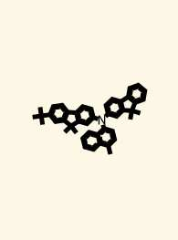 Cc1ccc(N(c2ccc3c(c2)C(C)(C)c2ccccc2-3)c2ccc3c(c2)C(C)(C)c2cc(C(C)(C)C)ccc2-3)c2ccccc12